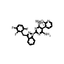 COc1ncccc1-c1c(N)nc(-n2nc(Cc3c(F)ccc(F)c3F)c3ccccc32)nc1N